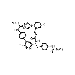 CNC(=O)Nc1ccc(C[C@H](NC(=O)/C=C/c2cc(Cl)ccc2-n2cnnn2)c2cc(-c3ccc(NC(=O)OC)cc3)c(Cl)nn2)cc1